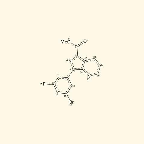 COC(=O)c1nn(-c2cc(F)cc(Br)c2)c2ncccc12